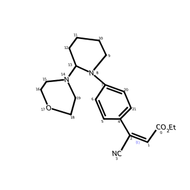 CCOC(=O)/C=C(/C#N)c1ccc(N2CCCCC2N2CCOCC2)cc1